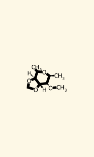 CO[C@@H]1[C@@H]2OCO[C@H]2C(C)O[C@H]1C